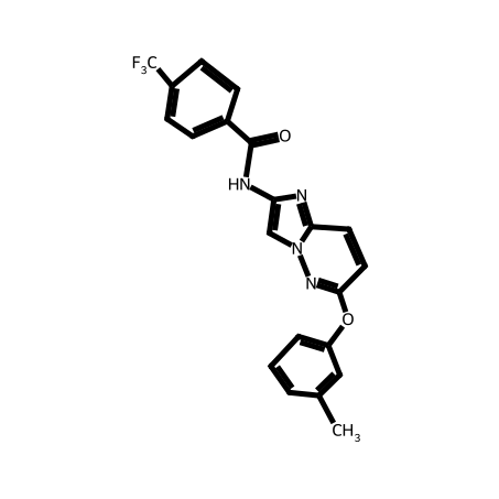 Cc1cccc(Oc2ccc3nc(NC(=O)c4ccc(C(F)(F)F)cc4)cn3n2)c1